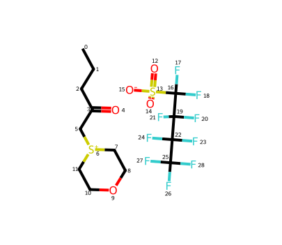 CCCC(=O)C[S+]1CCOCC1.O=S(=O)([O-])C(F)(F)C(F)(F)C(F)(F)C(F)(F)F